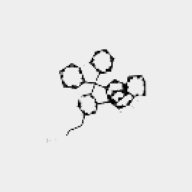 CCOC(=O)CCc1cnc(C(c2ccccc2)(c2ccccc2)c2ccccc2)c(-c2ccc3ccccc3c2)c1